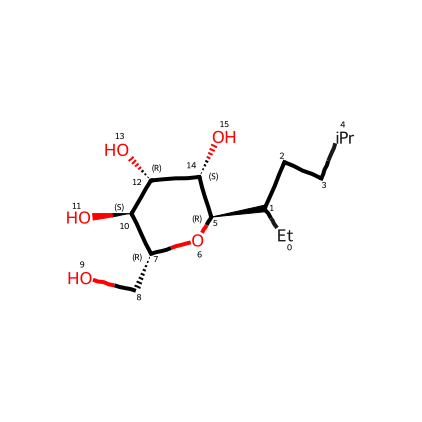 CCC(CCC(C)C)[C@H]1O[C@H](CO)[C@@H](O)[C@H](O)[C@@H]1O